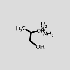 CC(O)CO.NN